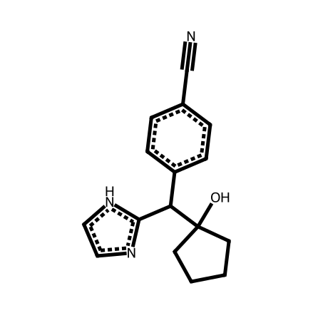 N#Cc1ccc(C(c2ncc[nH]2)C2(O)CCCC2)cc1